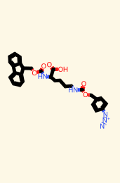 [N-]=[N+]=Nc1ccc(COC(=O)NCCCCC(NC(=O)OCC2c3ccccc3-c3ccccc32)C(=O)O)cc1